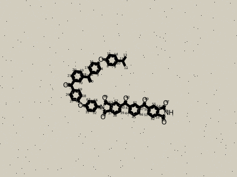 C=C(c1ccc(Oc2ccc(C(C)C)cc2)cc1)c1cccc(C(=O)c2ccc(Oc3ccc(N4C(=O)c5ccc(C(=O)c6cccc(C(=O)c7ccc8c(c7)C(=O)NC8=O)c6)cc5C4=O)cc3)cc2)c1